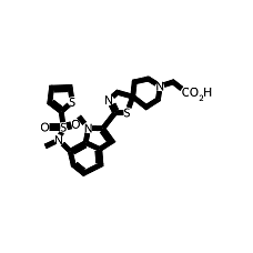 CN(c1cccc2cc(C3=NCC4(CCN(CC(=O)O)CC4)S3)n(C)c12)S(=O)(=O)c1cccs1